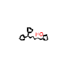 Oc1ccccc1CCCCCC(c1ccccc1)c1ccccc1